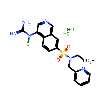 Cl.Cl.N=C(N)N(Cl)c1cncc2cc(S(=O)(=O)N(CC(=O)O)Cc3ccccn3)ccc12